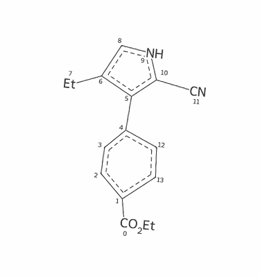 CCOC(=O)c1ccc(-c2c(CC)c[nH]c2C#N)cc1